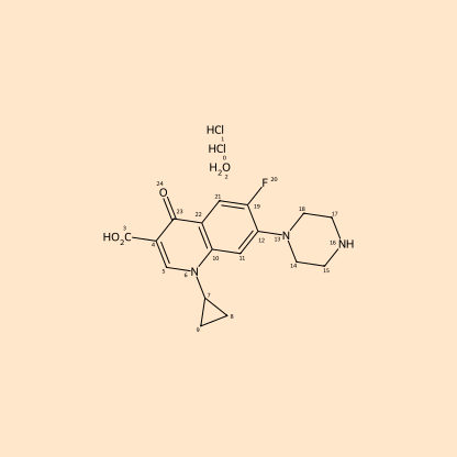 Cl.Cl.O.O=C(O)c1cn(C2CC2)c2cc(N3CCNCC3)c(F)cc2c1=O